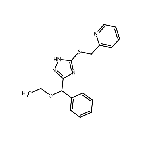 CCOC(c1ccccc1)c1n[nH]c(SCc2ccccn2)n1